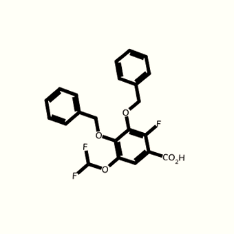 O=C(O)c1cc(OC(F)F)c(OCc2ccccc2)c(OCc2ccccc2)c1F